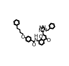 O=C(Nc1cccc2c(=O)cc(-c3nnnn3Cc3ccccc3)oc12)c1ccc(OCCCCc2ccccc2)cc1